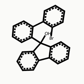 OC1(c2ccccc2-c2ccccc2Br)c2ccccc2-c2ccccc21